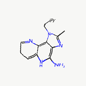 Cc1nc2c(n1CC(C)C)=C1N=CCC=C1NC=2N